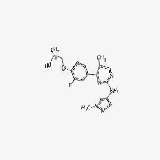 Cc1cnc(Nc2cnn(C)c2)nc1-c1ccc(OC[C@@H](C)O)c(F)c1